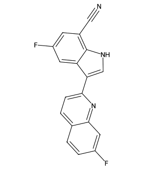 N#Cc1cc(F)cc2c(-c3ccc4ccc(F)cc4n3)c[nH]c12